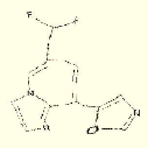 FC(F)c1cc(-c2cnco2)c2nc[c]n2c1